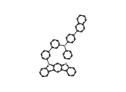 c1ccc(N(c2ccc(-c3ccc4ccccc4c3)cc2)c2cccc(-c3cccc(-n4c5ccccc5c5cc6c(cc54)sc4ccccc46)c3)c2)cc1